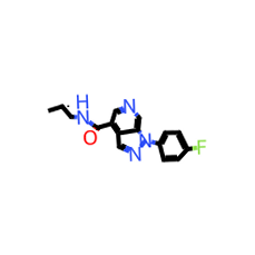 C[CH]CNC(=O)c1cncc2c1cnn2-c1ccc(F)cc1